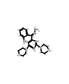 N/N=C(/c1cc(N2CCOCC2)nc(N2CCOCC2)n1)c1ccccc1O